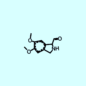 COc1cc2c(cc1OC)C(C=O)NC2